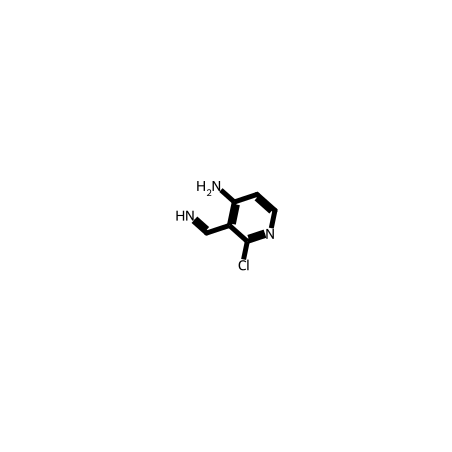 N=Cc1c(N)ccnc1Cl